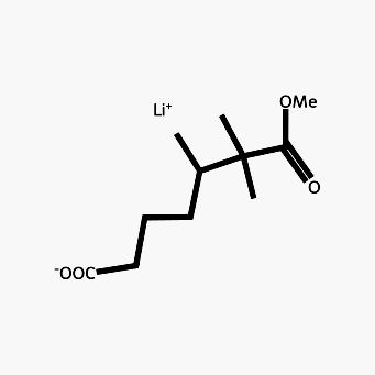 COC(=O)C(C)(C)C(C)CCCC(=O)[O-].[Li+]